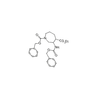 CCOC(=O)C1CCCN(C(=O)OCc2ccccc2)CC1NC(=O)OCc1ccccc1